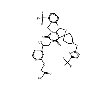 NC(Cn1c(=O)c2c(n(Cc3c(F)cccc3C(F)(F)F)c1=O)COC21CCN(Cc2ccc(C(F)(F)F)o2)CC1)c1cccc(OCC(=O)O)c1